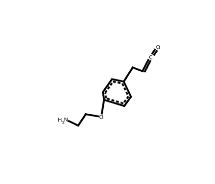 NCCOc1ccc(CC=C=O)cc1